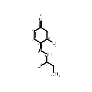 CCC(Cl)N/N=C1/C=CC(=O)C=C1Cl